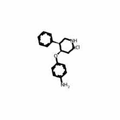 Cl.Nc1ccc(O[C@@H]2CCNC[C@@H]2c2ccccc2)cc1